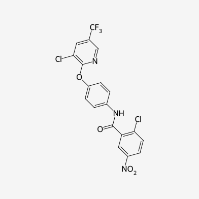 O=C(Nc1ccc(Oc2ncc(C(F)(F)F)cc2Cl)cc1)c1cc([N+](=O)[O-])ccc1Cl